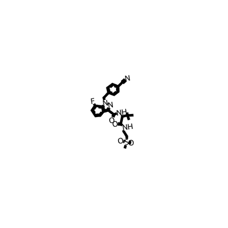 CC(C)(C)[C@H](NC(=O)c1nn(Cc2ccc(C#N)cc2)c2c(F)cccc12)C(=O)NCCS(C)(=O)=O